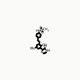 CC(C)(C)c1cc(/C=C/c2ccc(NS(C)(=O)=O)cc2)c(O)c(-c2ncc[nH]c2=O)c1